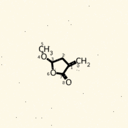 C=C1CC(OC)OC1=O